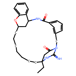 CCC12CCCCCCCC3CC(NC(=O)c4cccc(c4)CN(C(=N)N1)C(=O)C2)c1ccccc1O3